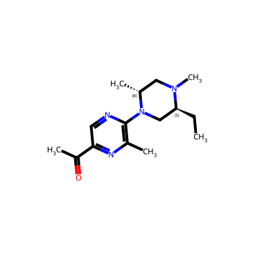 CC[C@H]1CN(c2ncc(C(C)=O)nc2C)[C@H](C)CN1C